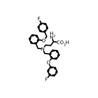 NC(CCN(Cc1ccccc1OCc1ccc(F)cc1)Cc1ccccc1Oc1cccc(F)c1)C(=O)O